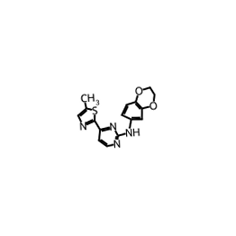 Cc1cnc(-c2ccnc(Nc3ccc4c(c3)OCCO4)n2)s1